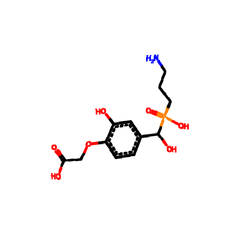 NCCCP(=O)(O)C(O)c1ccc(OCC(=O)O)c(O)c1